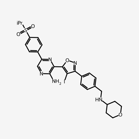 CC(C)S(=O)(=O)c1ccc(-c2cnc(N)c(-c3onc(-c4ccc(CNC5CCOCC5)cc4)c3I)n2)cc1